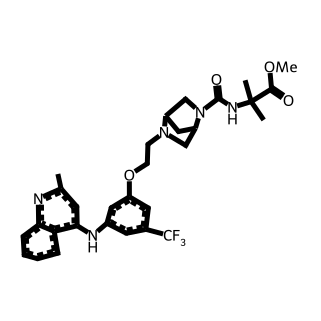 COC(=O)C(C)(C)NC(=O)N1CC2CC1CN2CCOc1cc(Nc2cc(C)nc3ccccc23)cc(C(F)(F)F)c1